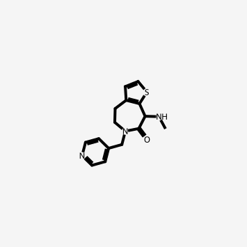 CNC1C(=O)N(Cc2ccncc2)CCc2ccsc21